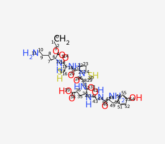 C=CCOC(=O)[C@H](CCCCN)NC(=O)[C@H](CS)NC(=O)[C@@H]1CCCN1C(=O)[C@H](CS)NC(=O)[C@H](CCC(=O)O)NC(=O)CNC(=O)[C@@H](N)Cc1ccc(O)cc1